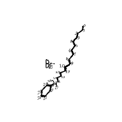 CCCCCCCCCCCCCCCC[N+](C)(C)C1CCCCC1.[Br-]